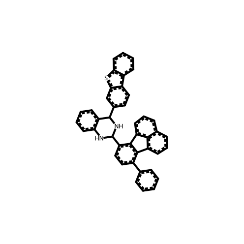 c1ccc(-c2ccc(C3Nc4ccccc4C(c4ccc5c(c4)sc4ccccc45)N3)c3c2-c2cccc4cccc-3c24)cc1